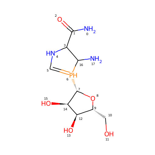 NC(=O)C1NC=[PH]([C@@H]2O[C@H](CO)[C@@H](O)[C@H]2O)C1N